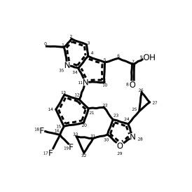 Cc1ccc2c(CC(=O)O)cn(-c3ccc(C(F)(F)F)cc3Cc3c(C4CC4)noc3C3CC3)c2n1